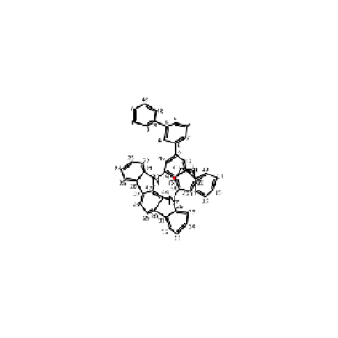 c1ccc(-c2cccc(-c3cc(-c4ccccc4)cc(-n4c5ccccc5c5ccc6c7ccccc7n(-c7ccccc7)c6c54)c3)c2)cc1